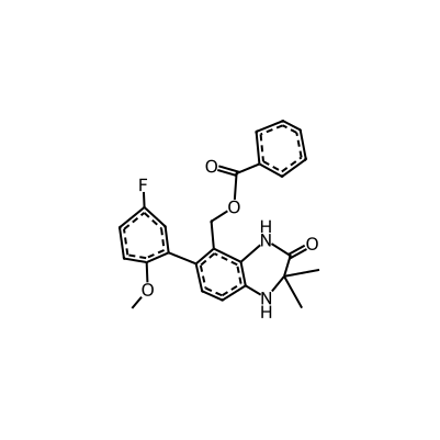 COc1ccc(F)cc1-c1ccc2c(c1COC(=O)c1ccccc1)NC(=O)C(C)(C)N2